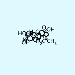 C=C(C)[C@@H]1CC[C@]2(C(=O)O)CC[C@]3(C)C(CCC4[C@@]5(C)CC/C(=N\O)[C@@](C)(CO)[C@@H]5CC[C@]43C)C12